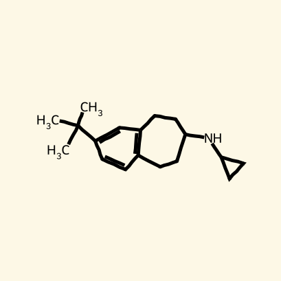 CC(C)(C)c1ccc2c(c1)CCC(NC1CC1)CC2